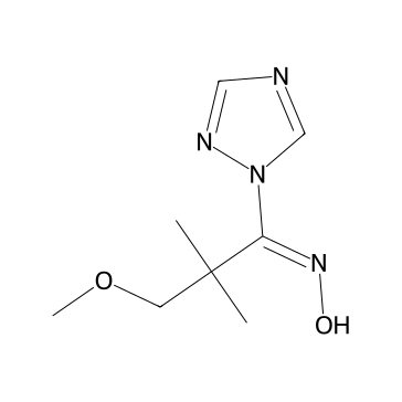 COCC(C)(C)C(=NO)n1cncn1